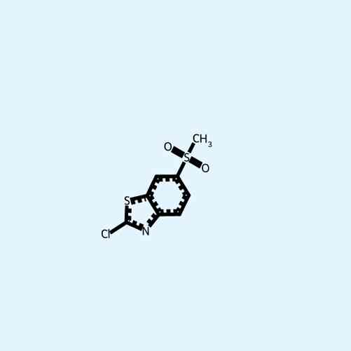 CS(=O)(=O)c1ccc2nc(Cl)sc2c1